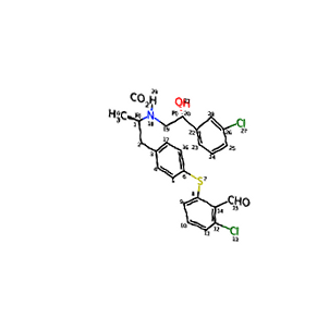 C[C@H](Cc1ccc(Sc2cccc(Cl)c2C=O)cc1)N(C[C@H](O)c1cccc(Cl)c1)C(=O)O